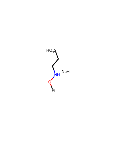 CCONCCS(=O)(=O)O.[NaH]